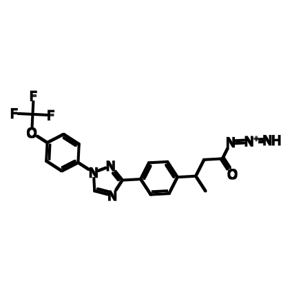 CC(CC(=O)N=[N+]=N)c1ccc(-c2ncn(-c3ccc(OC(F)(F)F)cc3)n2)cc1